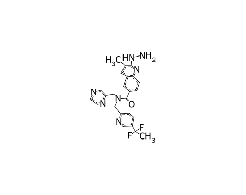 Cc1cc2cc(C(=O)N(Cc3ccc(C(C)(F)F)cn3)Cc3cnccn3)ccc2nc1NN